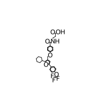 O=C(O)CCNC(=O)c1ccc(OCc2cc(-c3ccc(OC(F)(F)F)cc3)oc2C2CCCCC2)cc1